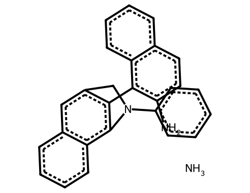 N.Nc1ccc2ccccc2c1-c1c2cc3ccccc3c1N(c1ccccc1)C2